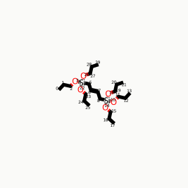 CCCO[Si](CC=CC[Si](OCCC)(OCCC)OCCC)(OCCC)OCCC